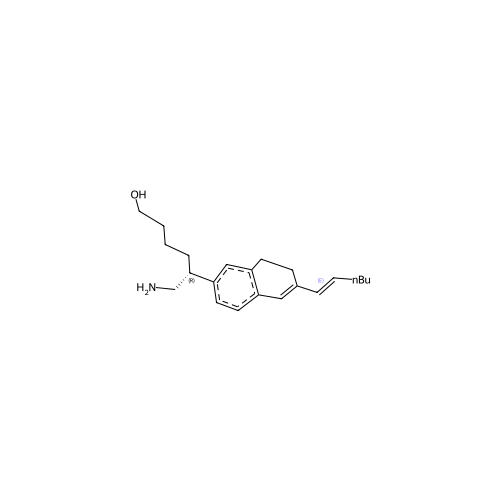 CCCC/C=C/C1=Cc2ccc([C@H](CN)CCCCO)cc2CC1